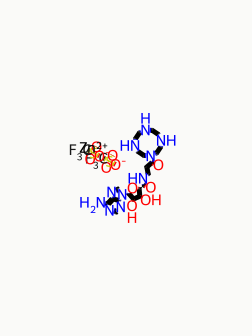 Nc1ncnc2c1ncn2[C@@H]1O[C@H](C(=O)NCCC(=O)N2CCNCCNCCNCC2)[C@@H](O)[C@H]1O.O=S(=O)([O-])C(F)(F)F.O=S(=O)([O-])C(F)(F)F.[Zn+2]